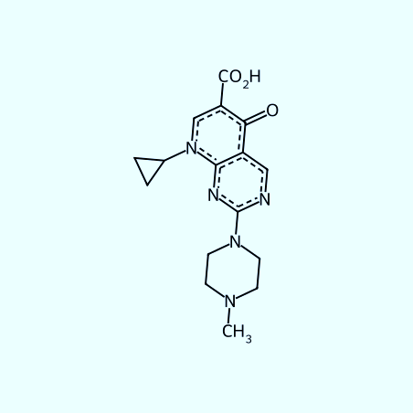 CN1CCN(c2ncc3c(=O)c(C(=O)O)cn(C4CC4)c3n2)CC1